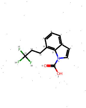 O=C(O)n1ccc2cccc(CCC(F)(F)F)c21